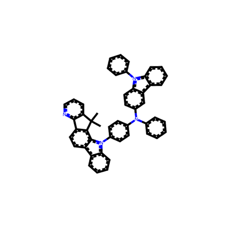 CC1(C)c2cccnc2-c2ccc3c4ccccc4n(-c4ccc(N(c5ccccc5)c5ccc6c(c5)c5ccccc5n6-c5ccccc5)cc4)c3c21